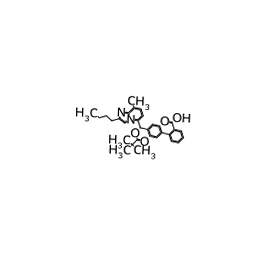 CCCCc1cn2c(C(OC(=O)C(C)(C)C)c3ccc(-c4ccccc4C(=O)O)cc3)ccc(C)c2n1